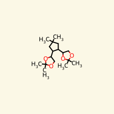 CC1(C)CC(C2COC(C)(C)O2)C(C2COC(C)(C)O2)C1